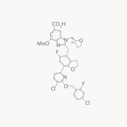 COc1cc(C(=O)O)cc2c1nc(Cc1c(F)cc(-c3ccc(Cl)c(OCc4ccc(Cl)cc4F)n3)c3c1CCO3)n2C[C@@H]1CCO1